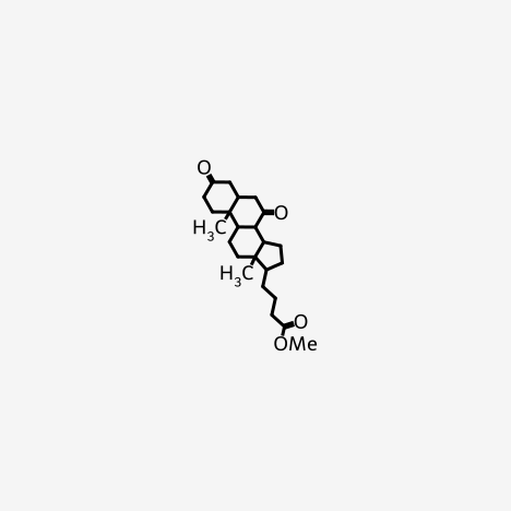 COC(=O)CCCC1CCC2C3C(=O)CC4CC(=O)CCC4(C)C3CCC12C